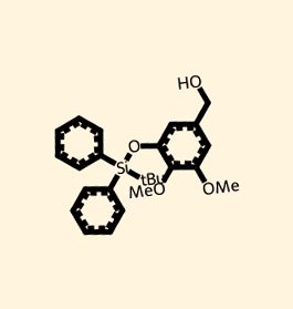 COc1cc(CO)cc(O[Si](c2ccccc2)(c2ccccc2)C(C)(C)C)c1OC